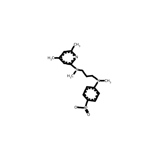 Cc1cc(C)nc(N(C)CCCN(C)c2ccc([N+](=O)[O-])cc2)c1